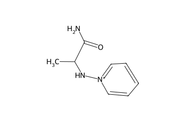 CC(N[n+]1ccccc1)C(N)=O